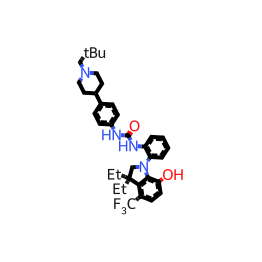 CCC1(CC)CN(c2ccccc2NC(=O)Nc2ccc(C3CCN(CC(C)(C)C)CC3)cc2)c2c(O)ccc(C(F)(F)F)c21